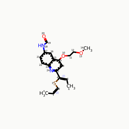 C/C=C\S/C(=C\C)c1cc(OCCOC)c2cc(NC=O)ccc2n1